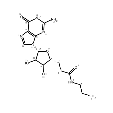 CCCNC(=O)OC[C@H]1O[C@@H](n2cnc3c(=O)[nH]c(N)nc32)C(O)C1O